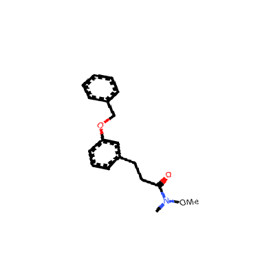 CON(C)C(=O)CCc1cccc(OCc2ccccc2)c1